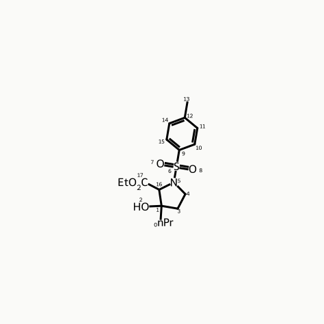 CCCC1(O)CCN(S(=O)(=O)c2ccc(C)cc2)C1C(=O)OCC